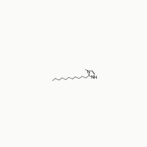 CCCCCCCCCCCc1[nH]cc[n+]1C